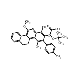 COc1nc2c(C)c([C@H](OC(C)(C)C)C(=O)O)c(-c3ccc(C)cc3)c(C)c2c2c1-c1ccccc1CC2